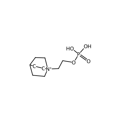 O=P(O)(O)OCC[N+]12CCC(CC1)CC2